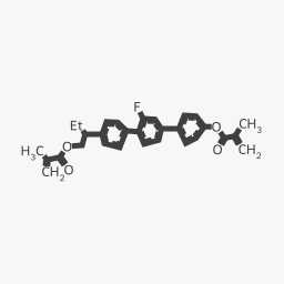 C=C(C)C(=O)OCC(CC)c1ccc(-c2ccc(-c3ccc(OC(=O)C(=C)C)cc3)cc2F)cc1